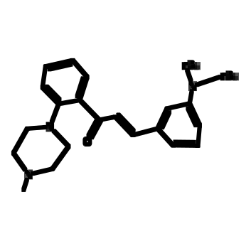 CCCCN(CCCC)c1cccc(C=CC(=O)c2ccccc2N2CCN(C)CC2)c1